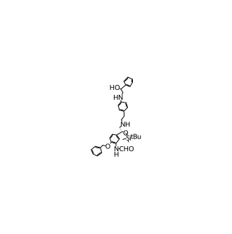 CC(C)(C)[Si](C)(C)O[C@@H](CNCCc1ccc(NCC(O)c2ccccc2)cc1)c1ccc(OCc2ccccc2)c(NC=O)c1